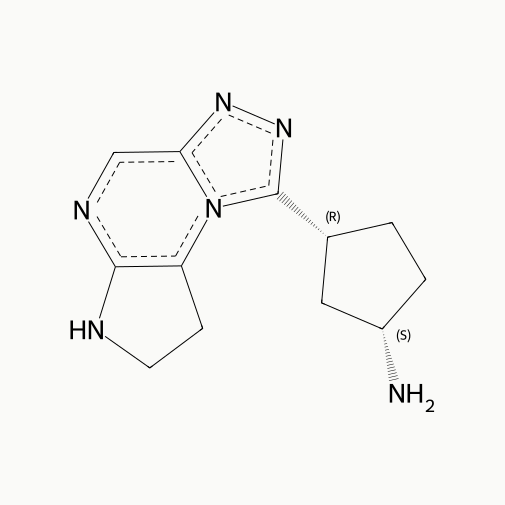 N[C@H]1CC[C@@H](c2nnc3cnc4c(n23)CCN4)C1